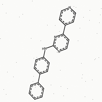 c1ccc(-c2ccc(Nc3nccc(-c4ccncc4)n3)cc2)cc1